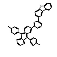 Cc1ccc(-c2c3ccccc3c(-c3ccc(C)cc3)c3cc(-c4cccc(-c5ccc6sc7ccccc7c6c5)c4)ccc23)cc1